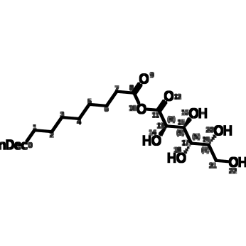 CCCCCCCCCCCCCCCCCC(=O)OC(=O)[C@H](O)[C@@H](O)[C@@H](O)[C@H](O)CO